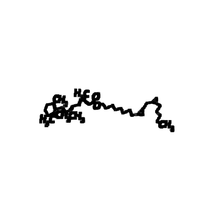 CCCCCC1CC1CC1CC1CCCCCCCCOC(=O)C=C(C)C=CC=C(C)C=CC1=C(C)CCCC1(C)C